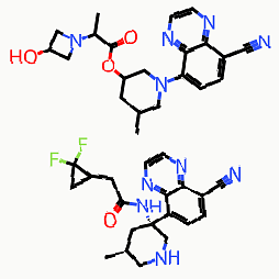 CC1CC(OC(=O)C(C)N2CC(O)C2)CN(c2ccc(C#N)c3nccnc23)C1.C[C@@H]1CNC[C@](NC(=O)CC2CC2(F)F)(c2ccc(C#N)c3nccnc23)C1